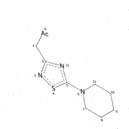 CC(=O)Cc1nsc(N2CCCCC2)n1